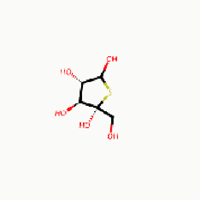 OC[C@]1(O)SC(O)[C@@H](O)[C@@H]1O